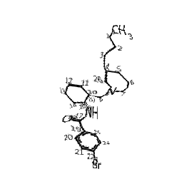 CCCCC1CCCN(C[C@@H]2CCCC[C@H]2NC(=O)c2ccc(Br)cc2)C1